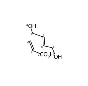 C=CC(=O)O.OCC=CCO